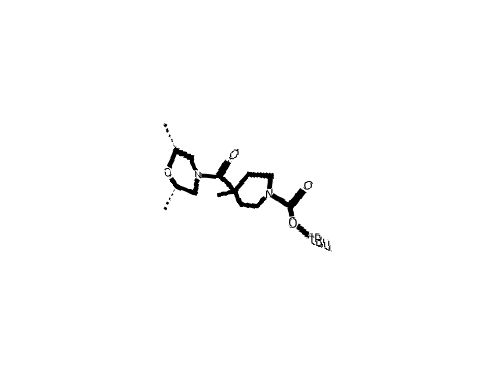 C[C@@H]1CN(C(=O)C2(C)CCN(C(=O)OC(C)(C)C)CC2)C[C@H](C)O1